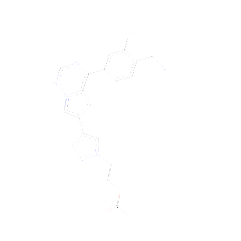 CC(=O)OCCn1cc(-c2cc3c(-c4ccc(CN)c(C)c4)ncnn3c2)cn1